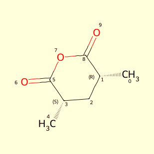 C[C@@H]1C[C@H](C)C(=O)OC1=O